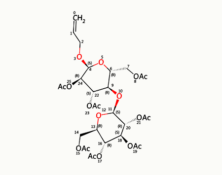 C=CCO[C@H]1O[C@H](COC(C)=O)[C@@H](O[C@@H]2O[C@H](COC(C)=O)[C@@H](OC(C)=O)[C@H](OC(C)=O)[C@H]2OC(C)=O)[C@H](OC(C)=O)[C@H]1OC(C)=O